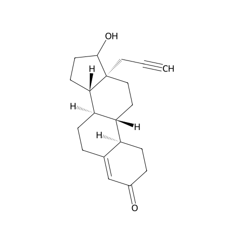 C#CC[C@]12CC[C@H]3[C@@H](CCC4=CC(=O)CC[C@@H]43)[C@@H]1CCC2O